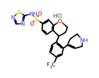 Cl.O=S(=O)(Nc1ncns1)c1ccc2c(c1)OCCC2c1ccc(C(F)(F)F)cc1C1=CCNCC1